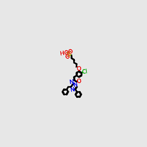 O=C1C(=Cc2ccc(Cl)c(OCCCCCCS(=O)(=O)O)c2)N=C2C(Cc3ccccc3)=NC(c3ccccc3)=CN12